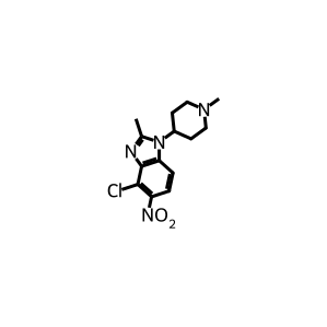 Cc1nc2c(Cl)c([N+](=O)[O-])ccc2n1C1CCN(C)CC1